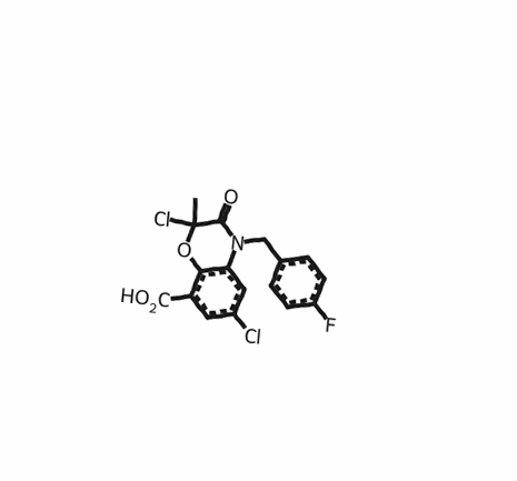 CC1(Cl)Oc2c(C(=O)O)cc(Cl)cc2N(Cc2ccc(F)cc2)C1=O